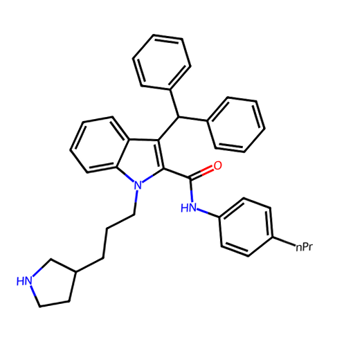 CCCc1ccc(NC(=O)c2c(C(c3ccccc3)c3ccccc3)c3ccccc3n2CCCC2CCNC2)cc1